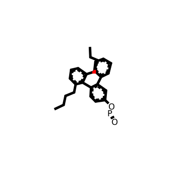 CCCCc1cccc(CCCC)c1-c1ccc(OP=O)cc1-c1ccccc1